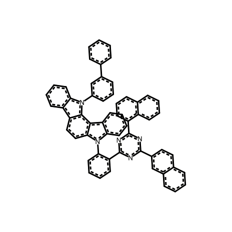 c1ccc(-c2cccc(-n3c4ccccc4c4ccc5c(c6ccccc6n5-c5ccccc5-c5nc(-c6ccc7ccccc7c6)nc(-c6cccc7ccccc67)n5)c43)c2)cc1